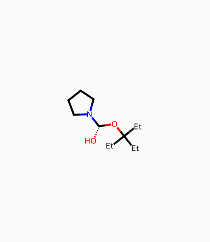 CCC(CC)(CC)O[C@H](O)N1CCCC1